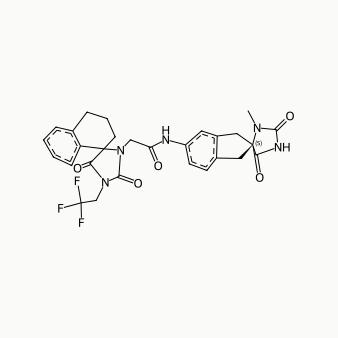 CN1C(=O)NC(=O)[C@@]12Cc1ccc(NC(=O)CN3C(=O)N(CC(F)(F)F)C(=O)C34CCCc3ccccc34)cc1C2